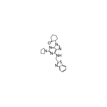 O=C1CCCCC1n1cnc2c(NCc3nc4ccccc4s3)nc(N3CCCC3)nc21